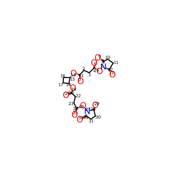 O=C(CCC(=O)ON1C(=O)CCC1=O)OC1CCC1OC(=O)CCC(=O)ON1C(=O)CCC1=O